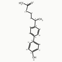 CC(=O)SCCC(C)c1ccc(-c2ccc(O)cc2)cc1